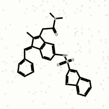 CC1=C(CC(=O)N(C)C)c2cc(NS(=O)(=O)c3ccc4ccccc4c3)ccc2/C1=C\c1ccccc1